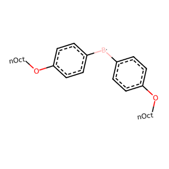 CCCCCCCCOc1ccc([B]c2ccc(OCCCCCCCC)cc2)cc1